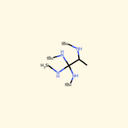 CC(NC(C)(C)C)C(N[SiH3])(NC(C)(C)C)NC(C)(C)C